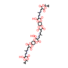 CC(/C=C/C1=C(O)OC2(CCC3(CC2)OC(=O)C(=C/C=C(C)/C=C/C2=C(OO)OC4(CCC5(CC4)OC(=O)C(=C/C=C(C)/C=C/C4=C(O)OC(C)(C6CC6)OC4=O)C(=O)O5)OC2=O)C(=O)O3)OC1=O)=C\C=C1C(=O)OC(C)(C2CC2)OC1=O